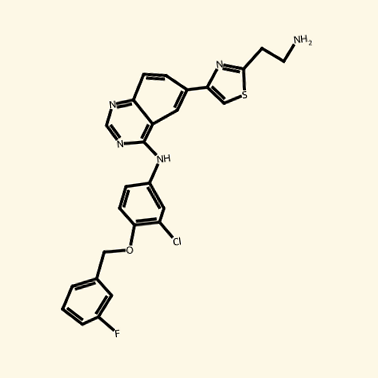 NCCc1nc(-c2ccc3ncnc(Nc4ccc(OCc5cccc(F)c5)c(Cl)c4)c3c2)cs1